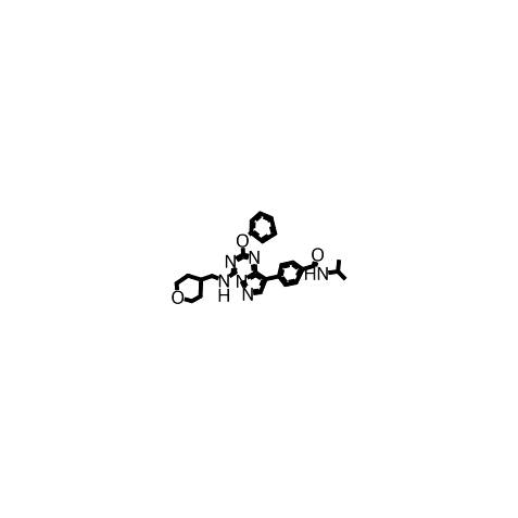 CC(C)NC(=O)c1ccc(-c2cnn3c(NCC4CCOCC4)nc(Oc4ccccc4)nc23)cc1